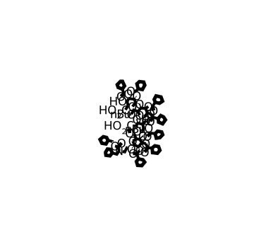 CCCCOCC1O[C@@H](OC2[C@H](O)C(C(=O)O)O[C@@H](O[C@@H]3C(COCCCC)O[C@@H](OCCN(Cc4ccccc4)C(=O)OCc4ccccc4)[C@@H](OC(=O)c4ccccc4)C3OC(=O)c3ccccc3)[C@H]2OC(=O)c2ccccc2)C(OC(=O)c2ccccc2)C(OC(=O)c2ccccc2)[C@@H]1O[C@@H]1OC(C(=O)O)[C@@H](O)C(OC(=O)c2ccccc2)[C@@H]1OC(=O)c1ccccc1